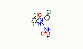 Cc1ccc(Cl)c2c(=O)n(-c3cccc(Cl)c3)c(CCNC(=O)OC(C)(C)C)nc12